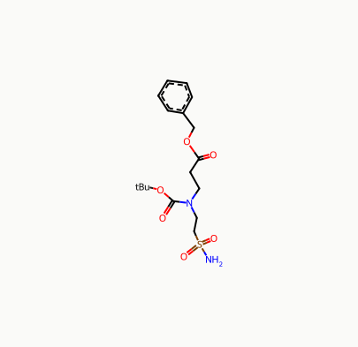 CC(C)(C)OC(=O)N(CCC(=O)OCc1ccccc1)CCS(N)(=O)=O